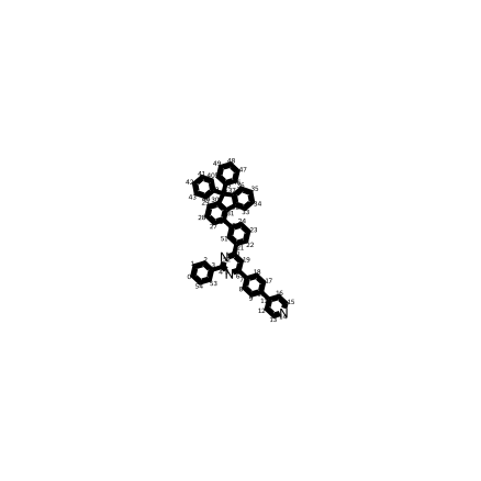 c1ccc(-c2nc(-c3ccc(-c4ccncc4)cc3)cc(-c3cccc(-c4cccc5c4-c4ccccc4C5(c4ccccc4)c4ccccc4)c3)n2)cc1